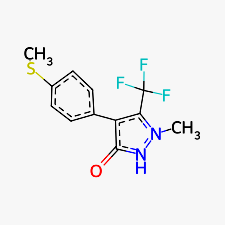 CSc1ccc(-c2c(C(F)(F)F)n(C)[nH]c2=O)cc1